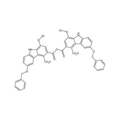 CCOc1cc(C(=O)OC(=O)c2cc(OCC)c3[nH]c4ccc(OCc5ccccc5)cc4c3c2C(=O)O)c(C(=O)O)c2c1[nH]c1ccc(OCc3ccccc3)cc12